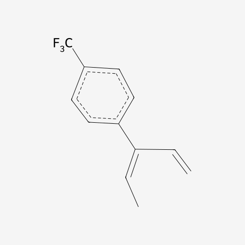 C=C/C(=C\C)c1ccc(C(F)(F)F)cc1